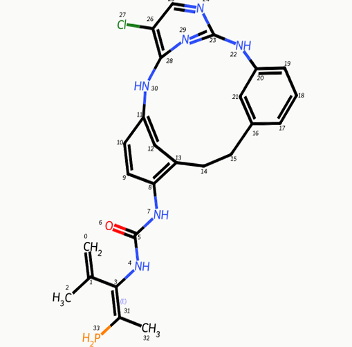 C=C(C)/C(NC(=O)Nc1ccc2cc1CCc1cccc(c1)Nc1ncc(Cl)c(n1)N2)=C(/C)P